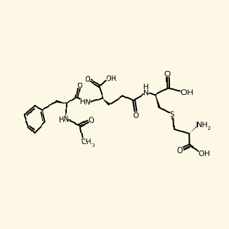 CC(=O)N[C@@H](Cc1ccccc1)C(=O)N[C@H](CCC(=O)N[C@H](CSC[C@H](N)C(=O)O)C(=O)O)C(=O)O